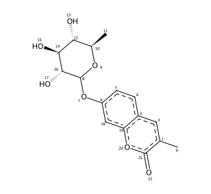 Cc1cc2ccc(OC3O[C@H](C)[C@@H](O)[C@H](O)[C@H]3O)cc2oc1=O